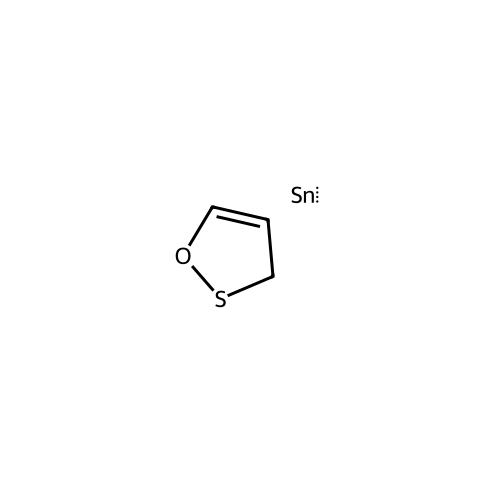 C1=COSC1.[Sn]